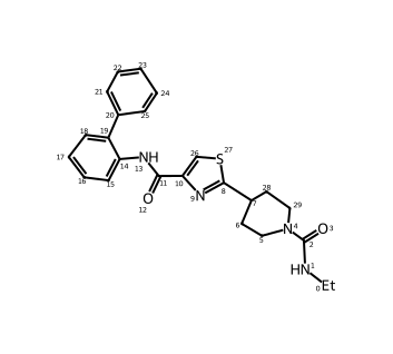 CCNC(=O)N1CCC(c2nc(C(=O)Nc3ccccc3-c3ccccc3)cs2)CC1